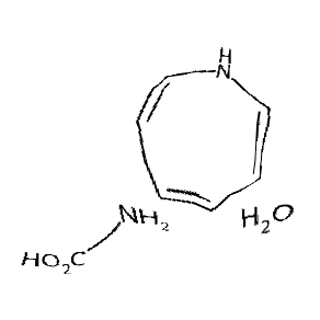 C1=CC=CNC=C1.NC(=O)O.O